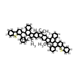 CC1(C)c2cc3c(cc2-c2cc4c(cc21)-c1c(cc(-c2ccc5c(sc6ccccc65)c2-c2ccccc2)c2ccccc12)C4(C)C)C(C)(C)c1cc(-c2ccc4c(sc5ccccc54)c2-c2ccccc2)c2ccccc2c1-3